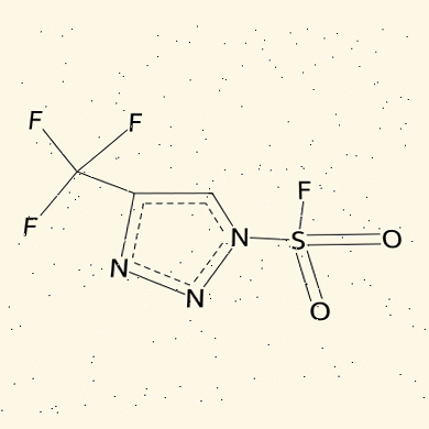 O=S(=O)(F)n1cc(C(F)(F)F)nn1